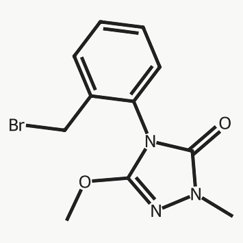 COc1nn(C)c(=O)n1-c1ccccc1CBr